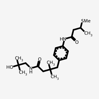 CSC(C)CC(=O)Nc1ccc(CC(C)(C)CC(=O)NCC(C)(C)O)cc1